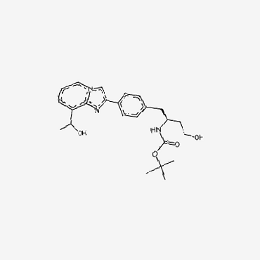 CC(O)c1cccn2cc(-c3ccc(C[C@@H](CCO)NC(=O)OC(C)(C)C)cc3)nc12